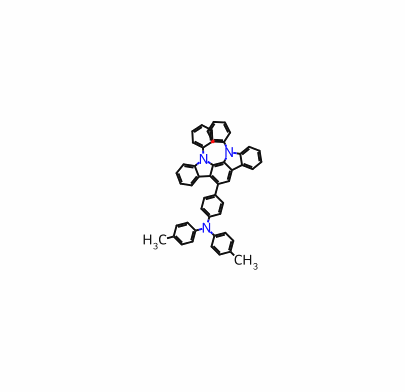 Cc1ccc(N(c2ccc(C)cc2)c2ccc(-c3cc4c5ccccc5n(-c5ccccc5)c4c4c3c3ccccc3n4-c3ccccc3)cc2)cc1